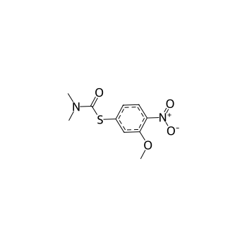 COc1cc(SC(=O)N(C)C)ccc1[N+](=O)[O-]